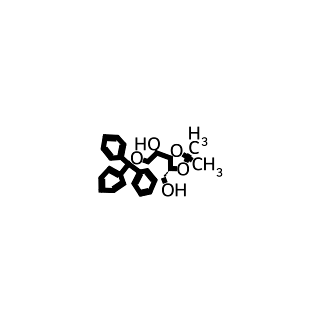 CC1(C)O[C@@H]([C@@H](O)COC(c2ccccc2)(c2ccccc2)c2ccccc2)[C@@H](CO)O1